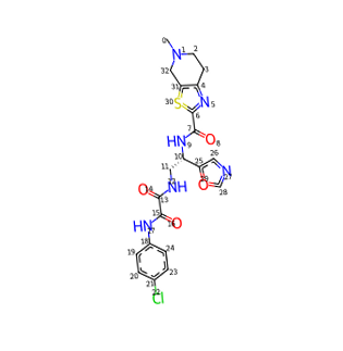 CN1CCc2nc(C(=O)N[C@@H](CNC(=O)C(=O)Nc3ccc(Cl)cc3)c3cnco3)sc2C1